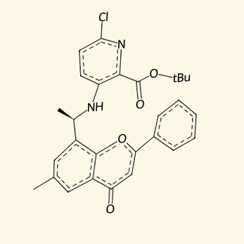 Cc1cc([C@@H](C)Nc2ccc(Cl)nc2C(=O)OC(C)(C)C)c2oc(-c3ccccc3)cc(=O)c2c1